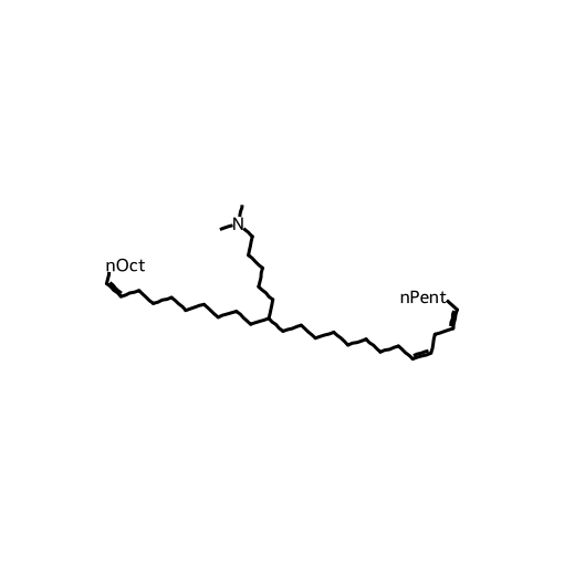 CCCCC/C=C\C/C=C\CCCCCCCCC(CCCCCCCC/C=C\CCCCCCCC)CCCCCN(C)C